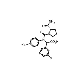 CC(C)(C)c1ccc(N(C(=O)N2CCC[C@H]2C(N)=O)C(C(=O)O)c2cncc(F)c2)cc1